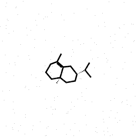 CC1=C2C[C@H](C(C)C)CC[C@@]2(C)CCC1